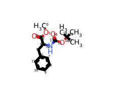 COC(=O)C(Cc1ccccc1)NC(=O)OC(C)(C)C